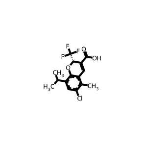 Cc1c(Cl)cc(C(C)C)c2c1C=C(C(=O)O)[C@@H](C(F)(F)F)O2